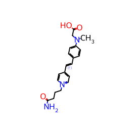 CN(CC(=O)O)c1ccc(/C=C/c2cc[n+](CCCC(N)=O)cc2)cc1